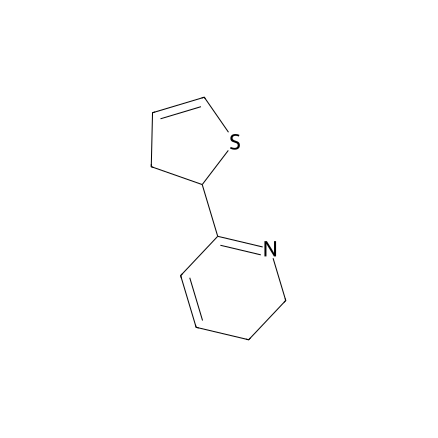 C1=CC(C2CC=CS2)=NCC1